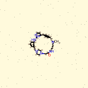 CN1CCCNC(=O)CN2CCN(CC2)Cc2cccc(c2)Nc2nccc(n2)-c2ccc(cc2)C1